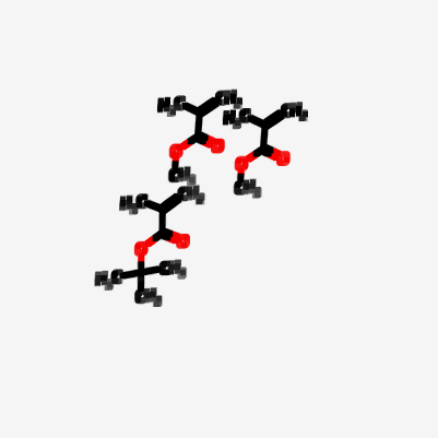 C=C(C)C(=O)OC.C=C(C)C(=O)OC.C=C(C)C(=O)OC(C)(C)C